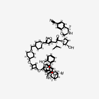 CC(C)[C@@H](C(=O)N1C[C@H](O)C[C@H]1C(=O)N[C@@H](C)c1ccc(C#N)cc1)c1cc(N2CCC(CN3CCC(OC4CC(Oc5cc(N6CC7C[C@H](C6)N7c6cc(-c7ccccc7O)nnc6N)ccn5)C4)CC3)CC2)no1